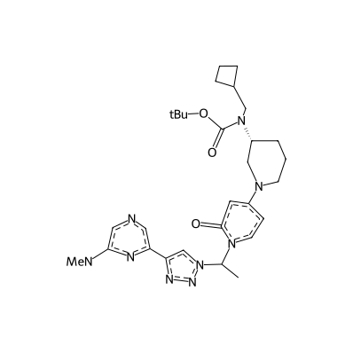 CNc1cncc(-c2cn(C(C)n3ccc(N4CCC[C@@H](N(CC5CCC5)C(=O)OC(C)(C)C)C4)cc3=O)nn2)n1